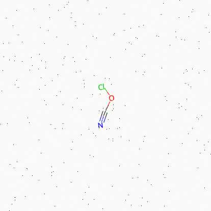 N#COCl